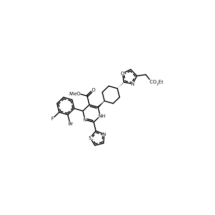 CCOC(=O)Cc1coc([C@H]2CC[C@H](C3=C(C(=O)OC)C(c4cccc(F)c4Br)N=C(c4nccs4)N3)CC2)n1